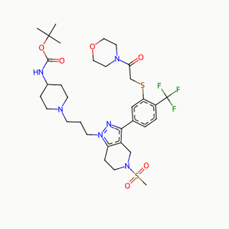 CC(C)(C)OC(=O)NC1CCN(CCCn2nc(-c3ccc(C(F)(F)F)c(SCC(=O)N4CCOCC4)c3)c3c2CCN(S(C)(=O)=O)C3)CC1